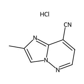 Cc1cn2nccc(C#N)c2n1.Cl